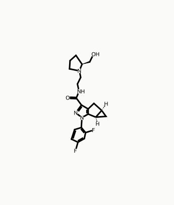 O=C(NCCN1CCC[C@H]1CO)c1nn(-c2ccc(F)cc2F)c2c1C[C@H]1C[C@@H]21